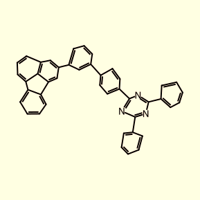 c1ccc(-c2nc(-c3ccccc3)nc(-c3ccc(-c4cccc(-c5cc6c7c(cccc7c5)-c5ccccc5-6)c4)cc3)n2)cc1